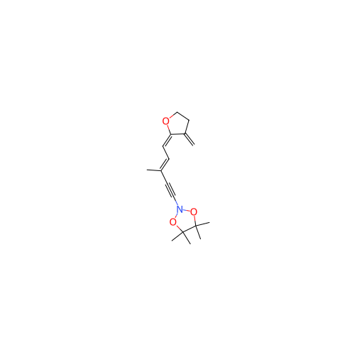 C=C1CCO/C1=C/C=C(\C)C#CN1OC(C)(C)C(C)(C)O1